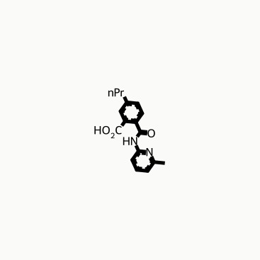 CCCc1ccc(C(=O)Nc2cccc(C)n2)c(C(=O)O)c1